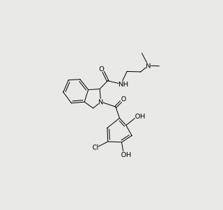 CN(C)CCNC(=O)C1c2ccccc2CN1C(=O)c1cc(Cl)c(O)cc1O